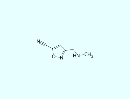 CNCc1cc(C#N)on1